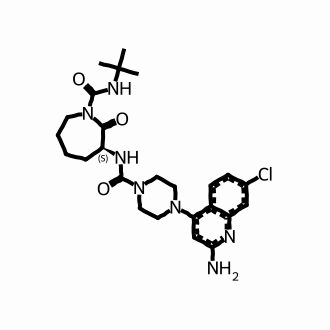 CC(C)(C)NC(=O)N1CCCC[C@H](NC(=O)N2CCN(c3cc(N)nc4cc(Cl)ccc34)CC2)C1=O